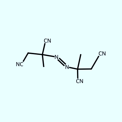 CC(C#N)(CC#N)N=NC(C)(C#N)CC#N